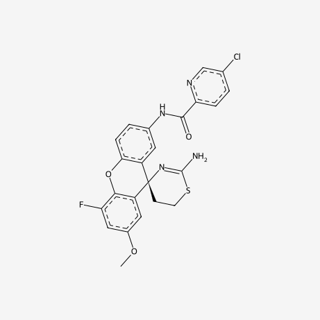 COc1cc(F)c2c(c1)[C@]1(CCSC(N)=N1)c1cc(NC(=O)c3ccc(Cl)cn3)ccc1O2